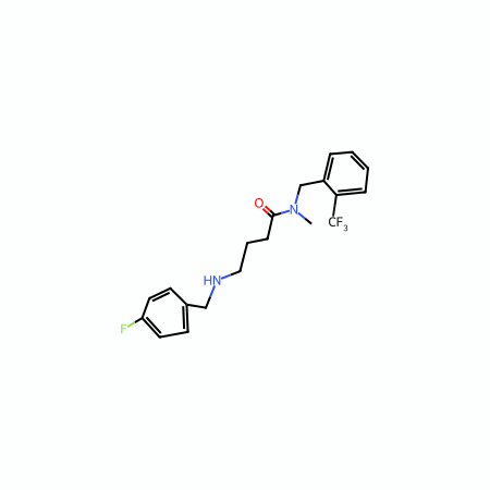 CN(Cc1ccccc1C(F)(F)F)C(=O)CCCNCc1ccc(F)cc1